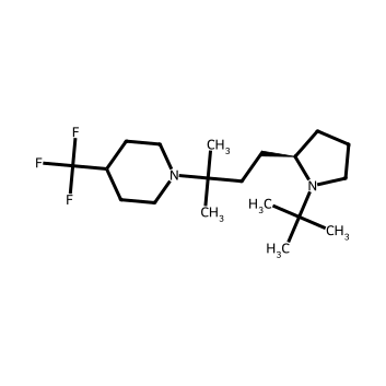 CC(C)(C)N1CCC[C@@H]1CCC(C)(C)N1CCC(C(F)(F)F)CC1